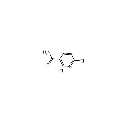 Cl.NC(=O)c1ccc(Cl)nc1